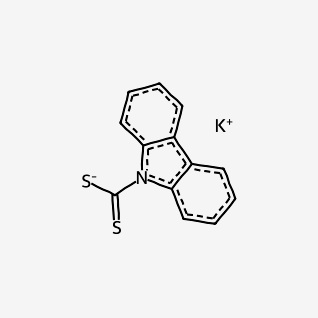 S=C([S-])n1c2ccccc2c2ccccc21.[K+]